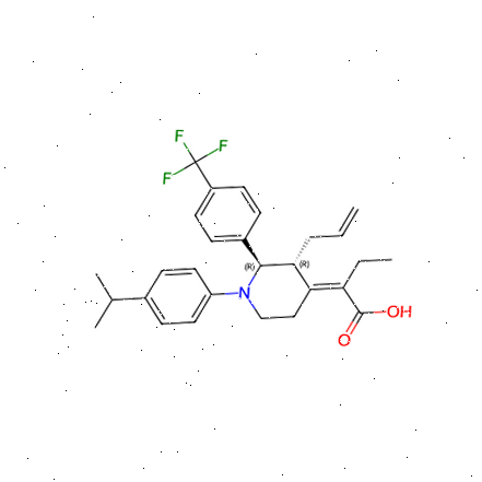 C=CC[C@@H]1C(=C(CC)C(=O)O)CCN(c2ccc(C(C)C)cc2)[C@H]1c1ccc(C(F)(F)F)cc1